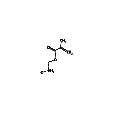 C=C(C)C(=O)OC[SiH2][O]